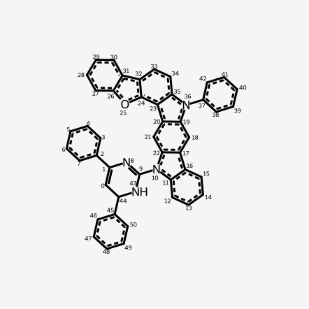 C1=C(c2ccccc2)N=C(n2c3ccccc3c3cc4c(cc32)c2c3oc5ccccc5c3ccc2n4-c2ccccc2)NC1c1ccccc1